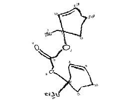 CC(C)(C)C1(OC(=O)OC2(C(C)(C)C)C=CCC2)C=CCC1